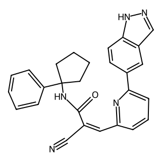 N#CC(=Cc1cccc(-c2ccc3[nH]ncc3c2)n1)C(=O)NC1(c2ccccc2)CCCC1